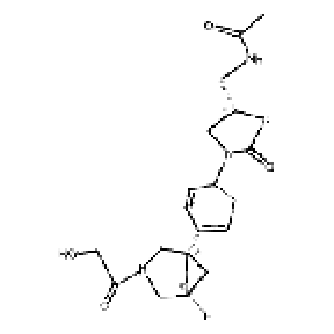 CC(=O)NC[C@H]1CN(C2C=CC([C@]34C[C@H]3CN(C(=O)CO)C4)=CC2)C(=O)O1